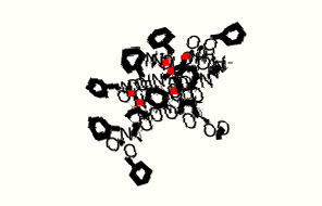 CC(=O)OC[C@H]1O[C@@H](O[C@@H]2[C@@H](O)[C@H](NC(=O)C(CCNC(=O)OCc3ccccc3)OCc3ccccc3)[C@@H](OCc3ccccc3)[C@H](NC(=O)OCc3ccccc3)[C@H]2O[C@H]2O[C@H]([C@@H](C)N(Cc3ccccc3)C(=O)OCc3ccccc3)CC[C@H]2N=[N+]=[N-])[C@H](OC(C)=O)[C@@H]1O[C@H]1O[C@@H](CN=[N+]=[N-])[C@H](O)[C@H](O)[C@H]1N=[N+]=[N-]